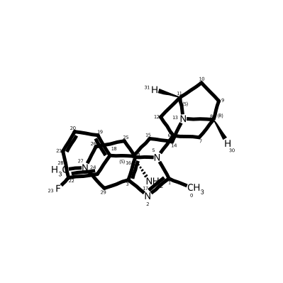 Cc1nc2c(n1C1C[C@H]3CC[C@@H](C1)N3CC[C@H](N)c1cccc(F)c1)CCN(C)C2